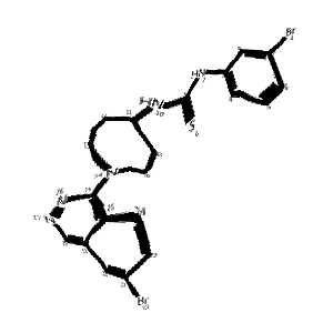 S=C(Nc1cccc(Br)c1)NC1CCN(c2nncc3cc(Br)ccc23)CC1